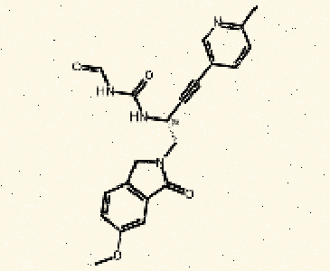 COc1ccc2c(c1)C(=O)N(C[C@@H](C#Cc1ccc(C)nc1)NC(=O)NC=O)C2